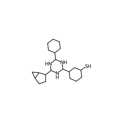 SC1CCCC(C2NC(C3CCCCC3)NC(C3CCC4CC43)N2)C1